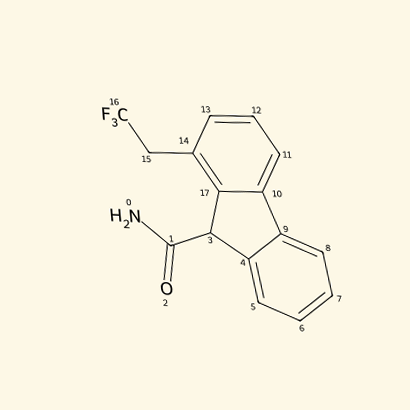 NC(=O)C1c2ccccc2-c2cccc(CC(F)(F)F)c21